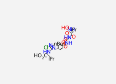 CCCCc1nc(Cl)c(CN[C@@H](CC(C)C)C(=O)O)n1Cc1ccc(S(=O)(=O)NC(=O)CNC(=O)C(CC(C)C)C(=O)NO)cc1